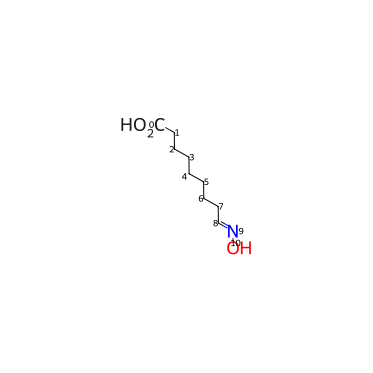 O=C(O)CCCCCCCC=NO